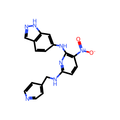 O=[N+]([O-])c1ccc(NCc2ccncc2)nc1Nc1ccc2cn[nH]c2c1